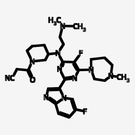 CN(C)CCN(c1nc(-c2cnc3ccc(F)cn23)nc(N2CCCN(C)CC2)c1F)C1CCCN(C(=O)CC#N)C1